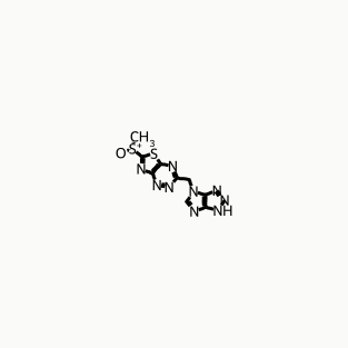 C[S+]([O-])c1nc2nnc(Cn3cnc4[nH]nnc43)nc2s1